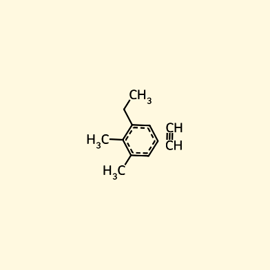 C#C.CCc1cccc(C)c1C